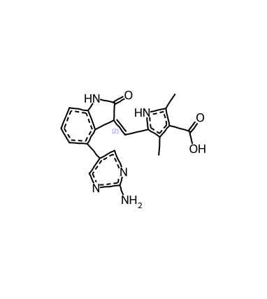 Cc1[nH]c(/C=C2\C(=O)Nc3cccc(-c4cnc(N)nc4)c32)c(C)c1C(=O)O